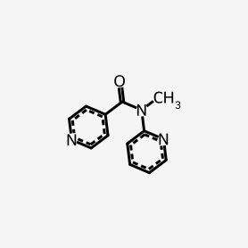 CN(C(=O)c1ccncc1)c1ccccn1